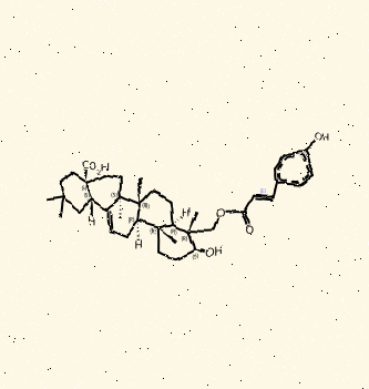 CC1(C)CC[C@]2(C(=O)O)CC[C@]3(C)C(=CC[C@@H]4[C@@]5(C)CC[C@H](O)[C@@](C)(COC(=O)/C=C/c6ccc(O)cc6)[C@@H]5CC[C@]43C)[C@@H]2C1